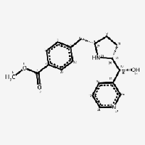 COC(=O)c1ccc(C[C@@H]2CC[C@H]([C@H](O)c3cccnc3)N2)cc1